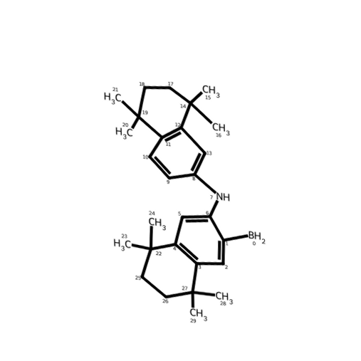 Bc1cc2c(cc1Nc1ccc3c(c1)C(C)(C)CCC3(C)C)C(C)(C)CCC2(C)C